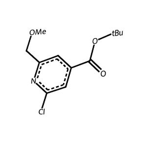 COCc1cc(C(=O)OC(C)(C)C)cc(Cl)n1